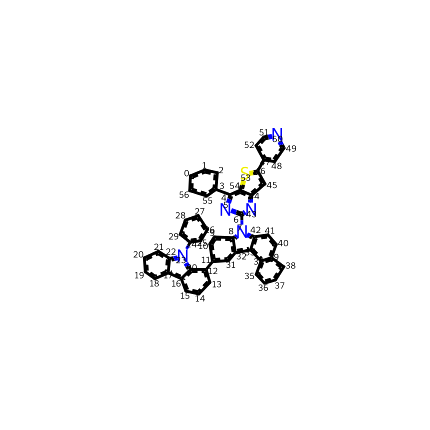 c1ccc(-c2nc(-n3c4ccc(-c5cccc6c7ccccc7n(-c7ccccc7)c56)cc4c4c5ccccc5ccc43)nc3cc(-c4ccncc4)sc23)cc1